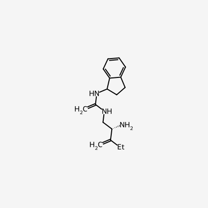 C=C(NC[C@H](N)C(=C)CC)NC1CCc2ccccc21